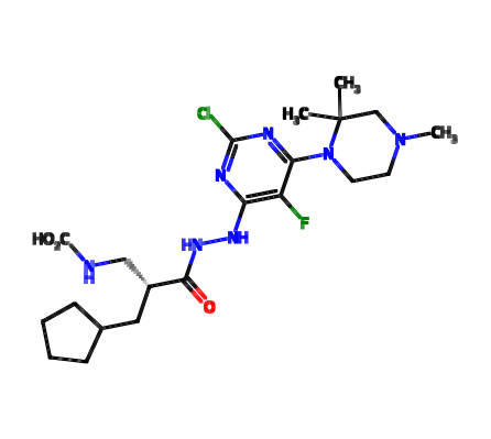 CN1CCN(c2nc(Cl)nc(NNC(=O)[C@@H](CNC(=O)O)CC3CCCC3)c2F)C(C)(C)C1